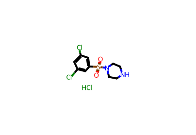 Cl.O=S(=O)(c1cc(Cl)cc(Cl)c1)N1CCNCC1